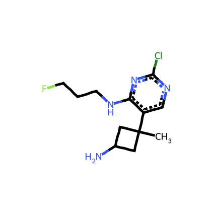 CC1(c2cnc(Cl)nc2NCCCF)CC(N)C1